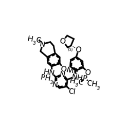 COc1cc2c(cc1Nc1ncc(Cl)c(Nc3ccc(O[C@H]4CCOC4)cc3OP(C)C)n1)CN(C)CC2.P